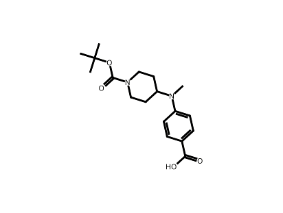 CN(c1ccc(C(=O)O)cc1)C1CCN(C(=O)OC(C)(C)C)CC1